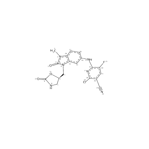 Cn1c(=O)n(C[C@H]2CNC(=O)O2)c2cc(Nc3nc(Cl)c(C#N)cc3F)ccc21